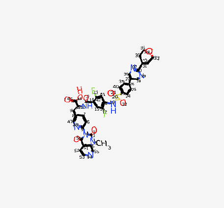 Cn1c(=O)n(-c2ccc(C[C@H](NC(=O)c3cc(F)c(NS(=O)(=O)c4ccc(-c5cnc(C6CCOCC6)nc5)cc4)cc3F)C(=O)O)cn2)c(=O)c2ccncc21